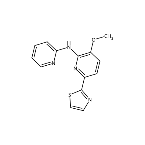 COc1ccc(-c2nccs2)nc1Nc1ccccn1